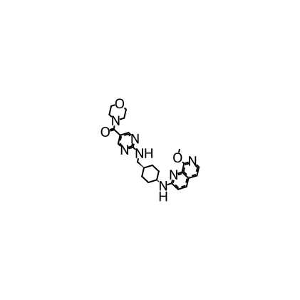 COc1nccc2ccc(N[C@H]3CC[C@H](CNc4ncc(C(=O)N5CCOCC5)cn4)CC3)nc12